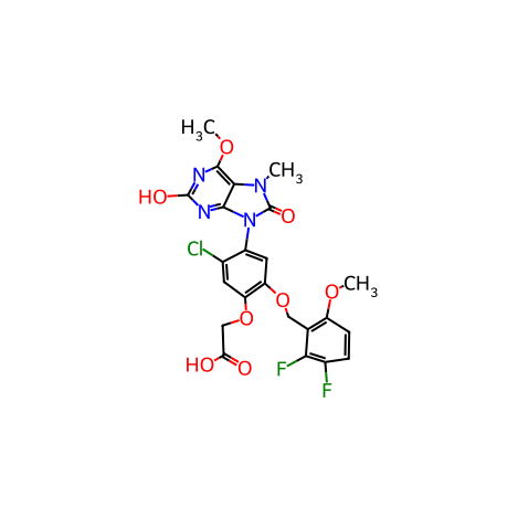 COc1ccc(F)c(F)c1COc1cc(-n2c(=O)n(C)c3c(OC)nc(O)nc32)c(Cl)cc1OCC(=O)O